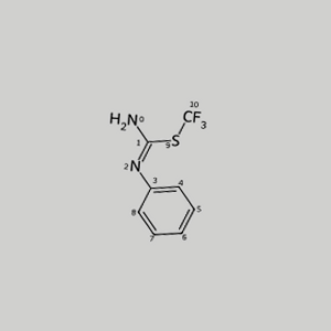 NC(=Nc1ccccc1)SC(F)(F)F